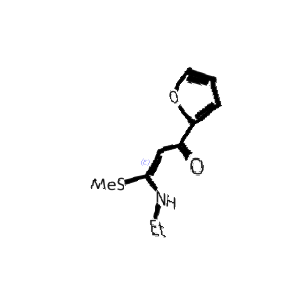 CCN/C(=C\C(=O)c1ccco1)SC